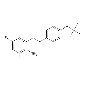 CC(C)(C)Cc1ccc(CCc2cc(F)cc(F)c2N)cc1